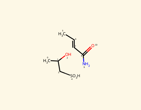 CC(O)CS(=O)(=O)O.CC=CC(N)=O